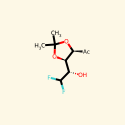 CC(=O)[C@@H]1OC(C)(C)O[C@@H]1[C@H](O)C(F)F